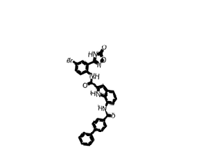 O=C(Nc1cccc2cc(C(=O)Nc3ccc(Br)cc3-c3noc(=O)[nH]3)[nH]c12)c1ccc(-c2ccccc2)cc1